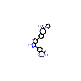 CC1(N2CCCC2)CCc2ccc(-c3cnc4[nH]nc(-c5ccc6c(c5)OCCNC6=O)c4c3)cc2CC1